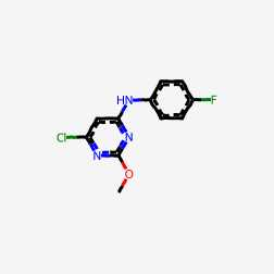 COc1nc(Cl)cc(Nc2ccc(F)cc2)n1